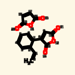 C=Cc1ccccc1C1=CC(=O)OC1=O.O=C1C=CC(=O)O1